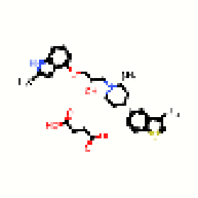 Cc1cc2c(OC[C@@H](O)CN3CC[C@@H](c4ccc5scc(C)c5c4)C[C@H]3C)cccc2[nH]1.O=C(O)CCC(=O)O